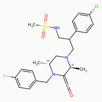 C[C@@H]1CN(CC(CNS(C)(=O)=O)c2ccc(Cl)cc2)[C@@H](C)C(=C=O)N1Cc1ccc(F)cc1